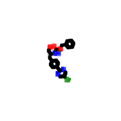 O=C[C@H](Cc1ccc(-c2ncc(Br)cn2)cc1)NC(=O)OCc1ccccc1